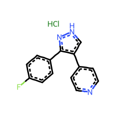 Cl.Fc1ccc(-c2n[nH]cc2-c2ccncc2)cc1